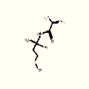 C=C(C)C(=O)NC(C)(C)CCOC(C)(C)C